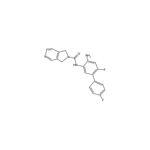 Nc1cc(F)c(-c2ccc(F)cc2)cc1NC(=O)N1Cc2ccncc2C1